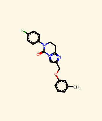 Cc1cccc(OCc2cn3c(n2)CCN(c2ccc(F)cc2)C3=O)c1